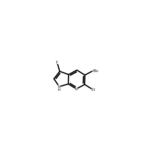 CCc1nc2[nH]cc(F)c2cc1C(C)(C)C